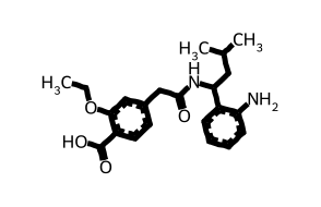 CCOc1cc(CC(=O)NC(CC(C)C)c2ccccc2N)ccc1C(=O)O